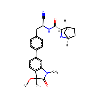 COC1(C)C(=O)N(C)c2cc(-c3ccc(CC(C#N)NC(=O)[C@H]4N[C@@H]5CC[C@H]4C5)cc3)ccc21